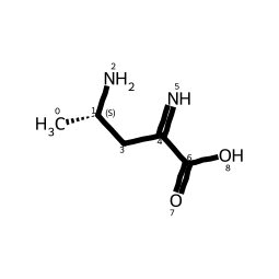 C[C@H](N)CC(=N)C(=O)O